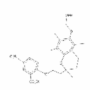 CCOC(=O)c1cc([N+](=O)[O-])ccc1OCCC1(C)CCc2c(C)c(OCOC)c(C)c(C)c2O1